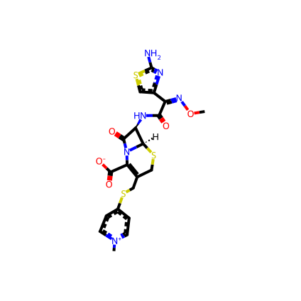 CO/N=C(\C(=O)N[C@@H]1C(=O)N2C(C(=O)[O-])=C(CSc3cc[n+](C)cc3)CS[C@H]12)c1csc(N)n1